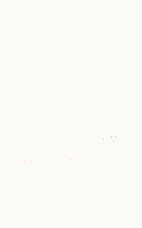 COc1ccc2ccccc2c1C(=O)CO